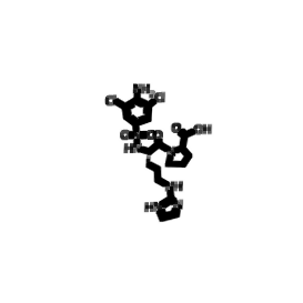 Nc1c(Cl)cc(S(=O)(=O)N[C@@H](CCCNc2ncc[nH]2)C(=O)N2CCCC2C(=O)O)cc1Cl